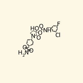 NS(=O)(=O)c1ccc(N2CC[C@](O)(OC(=O)NCc3cc(F)cc(Cl)c3)C2=O)cc1